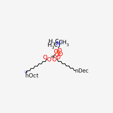 CCCCCCCC/C=C\CCCCCCCCCC(=O)OC[C@H](COP(=O)([O-])OCC[N+](C)(C)C)OC(=O)CCCCCCCCCCCCCCCCCCC